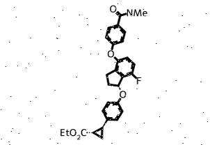 CCOC(=O)[C@H]1C[C@@H]1c1ccc(O[C@@H]2CCc3c(Oc4ccc(C(=O)NC)cc4)ccc(F)c32)cc1